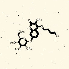 CC/C=C/CCOc1c(OC(C)=O)c(=O)oc2cc(O[C@H]3O[C@H](COC(C)=O)[C@@H](OC(C)=O)[C@H](OC(C)=O)[C@@H]3OC(C)=O)ccc12